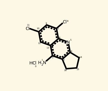 Cl.Nc1c2c(nc3c(Cl)cc(Cl)cc13)CCC2